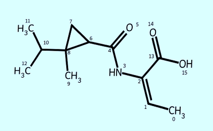 CC=C(NC(=O)C1CC1(C)C(C)C)C(=O)O